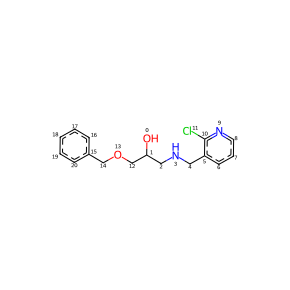 OC(CNCc1cccnc1Cl)COCc1ccccc1